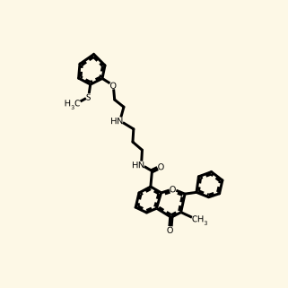 CSc1ccccc1OCCNCCCNC(=O)c1cccc2c(=O)c(C)c(-c3ccccc3)oc12